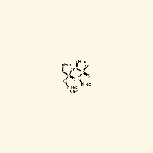 CCCCCCOP([O-])(=S)SCCCCCC.CCCCCCOP([O-])(=S)SCCCCCC.[Ca+2]